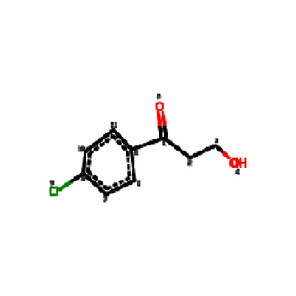 O=C(CCO)c1ccc(Cl)cc1